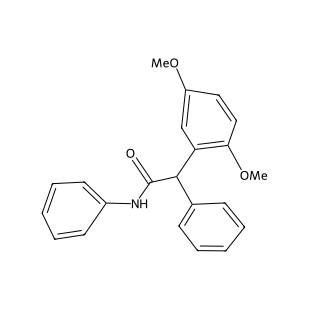 COc1ccc(OC)c(C(C(=O)Nc2ccccc2)c2ccccc2)c1